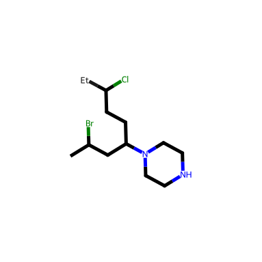 CCC(Cl)CCC(CC(C)Br)N1CCNCC1